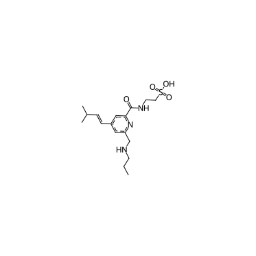 CCCNCc1cc(/C=C/C(C)C)cc(C(=O)NCCS(=O)(=O)O)n1